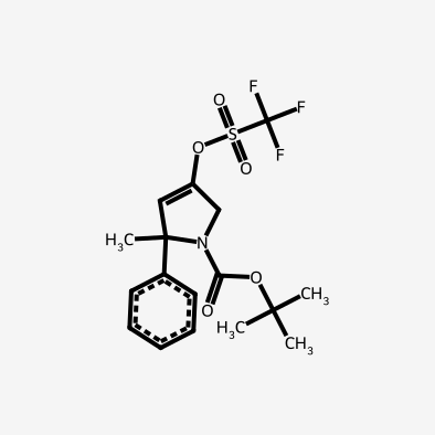 CC(C)(C)OC(=O)N1CC(OS(=O)(=O)C(F)(F)F)=CC1(C)c1ccccc1